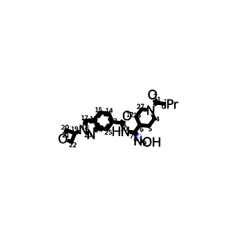 CC(C)C(=O)N1CCC(/C(=N\O)NC(=O)c2ccc3cn(C4COC4)nc3c2)CC1